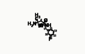 CC(C)[C@@](C)(N)CS(=O)(=O)NCc1cccc(F)c1